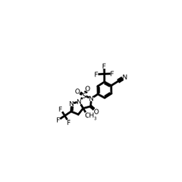 CC12CC(C(F)(F)F)=NN1S(=O)(=O)N(c1ccc(C#N)c(C(F)(F)F)c1)C2=O